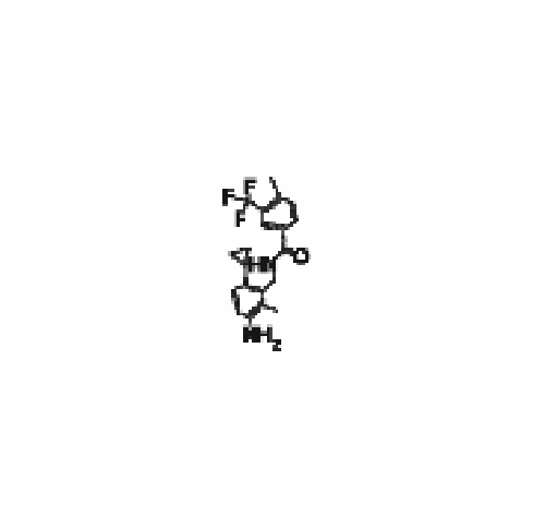 Cc1ccc(C(=O)NCc2c(C3CC3)ccc(N)c2C)cc1C(F)(F)F